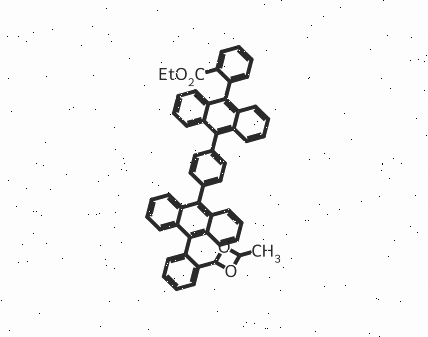 CCOC(=O)c1ccccc1-c1c2ccccc2c(-c2ccc(-c3c4ccccc4c(-c4ccccc4C4OC(C)O4)c4ccccc34)cc2)c2ccccc12